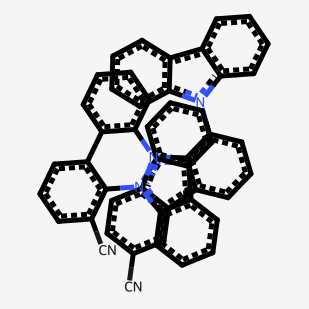 N#Cc1ccc2c(c1)c1cccc(-n3c4ccccc4c4ccccc43)c1n2-c1ccccc1-c1cccc(C#N)c1-n1c2ccccc2c2ccccc21